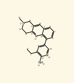 CCc1cc(-c2cccc3cc4c(nc23)CCN(C)C4)cnc1N